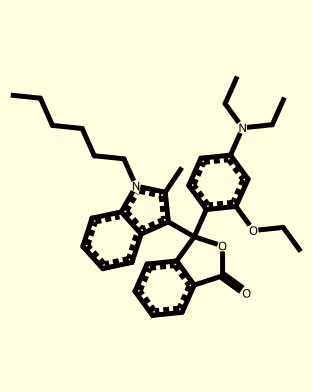 CCCCCCn1c(C)c(C2(c3ccc(N(CC)CC)cc3OCC)OC(=O)c3ccccc32)c2ccccc21